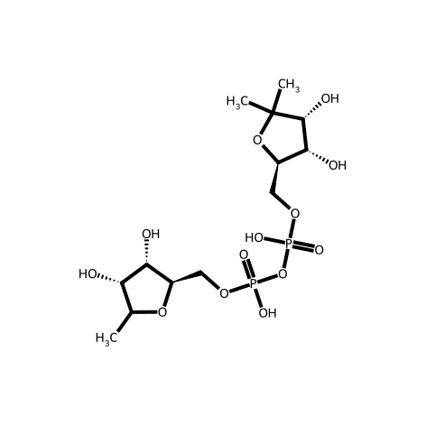 CC1O[C@H](COP(=O)(O)OP(=O)(O)OC[C@H]2OC(C)(C)[C@H](O)[C@@H]2O)[C@@H](O)[C@H]1O